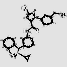 CN(C1CC1)C(c1cccc(NC(=O)c2cc(C(F)(F)F)nn2-c2cccc(CN)c2)c1)c1ccccc1O